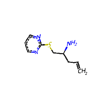 C=CC[C@H](N)CSc1ncccn1